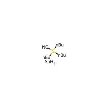 CCCCS(C#N)(CCCC)CCCC.[SnH4]